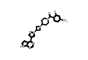 O=C(c1ccc(C(F)(F)F)cc1F)N1CCC(N2C[C](n3cc(-c4ncnc5[nH]ccc45)cn3)C2)CC1